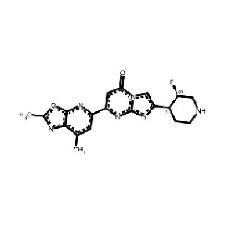 Cc1nc2c(C)cc(-c3cc(=O)n4cc([C@@H]5CCNC[C@@H]5F)sc4n3)nc2o1